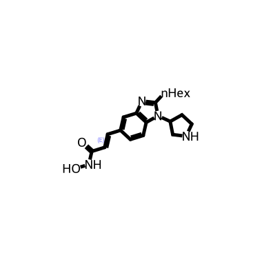 CCCCCCc1nc2cc(/C=C/C(=O)NO)ccc2n1C1CCNC1